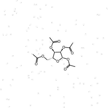 CC(=O)OC[C@H]1OC(OC(C)=O)[C@H](OC(C)=O)[C@@H]1OC(C)=O